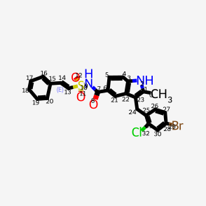 Cc1[nH]c2ccc(C(=O)NS(=O)(=O)/C=C/c3ccccc3)cc2c1Cc1ccc(Br)cc1Cl